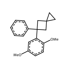 COc1ccc(OC)c(C2(c3ccccc3)CC3(CC3)C2)c1